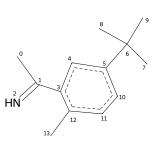 CC(=N)c1cc(C(C)(C)C)ccc1C